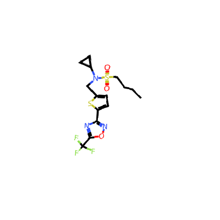 CCCCS(=O)(=O)N(Cc1ccc(-c2noc(C(F)(F)F)n2)s1)C1CC1